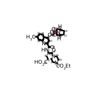 CCOC(=O)N1CCN(C(=O)[C@H](CCC(=O)O)NC(=O)c2cc(OCC(=O)N3[C@@H]4CC[C@H]3CC(=O)C4)c3ccc(C)cc3n2)CC1